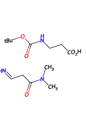 CC(C)(C)OC(=O)NCCC(=O)O.CN(C)C(=O)CC=N